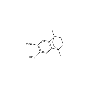 COc1cc2c(cc1C(=O)O)C1(C)CCC2(C)CC1